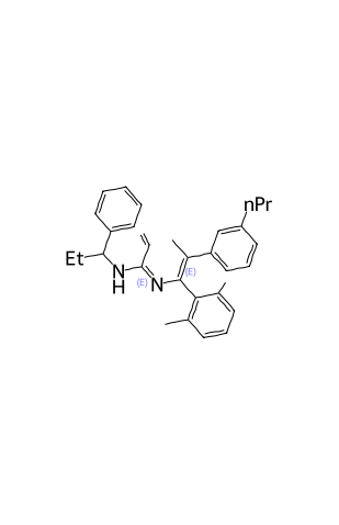 C=C/C(=N\C(=C(/C)c1cccc(CCC)c1)c1c(C)cccc1C)NC(CC)c1ccccc1